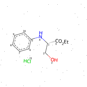 CCOC(=O)[C@H](CO)Nc1ccccc1.Cl